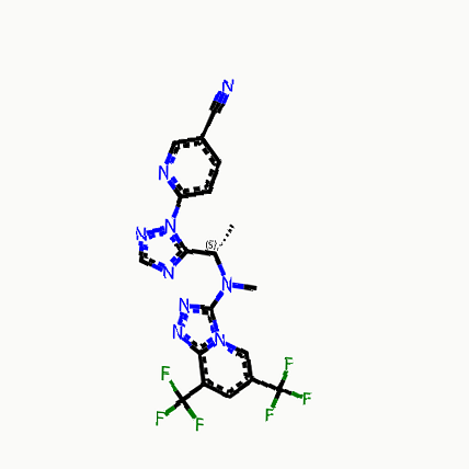 C[C@@H](c1ncnn1-c1ccc(C#N)cn1)N(C)c1nnc2c(C(F)(F)F)cc(C(F)(F)F)cn12